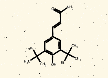 CCCC(C)(C)c1cc(C=CC(N)=O)cc(C(C)(C)CC)c1O